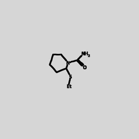 CCSC1CCCCN1C(N)=O